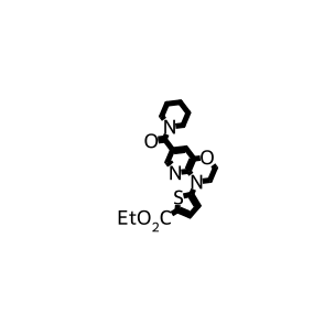 CCOC(=O)c1ccc(N2CCOc3cc(C(=O)N4CCCCC4)cnc32)s1